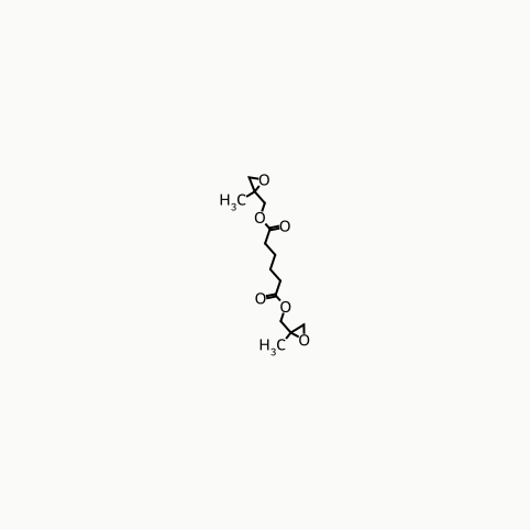 CC1(COC(=O)CCCCC(=O)OCC2(C)CO2)CO1